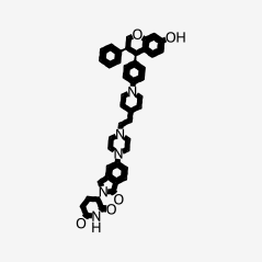 O=C1CC[C@H](N2Cc3cc(N4CCN(CCC5CCN(c6ccc([C@@H]7c8ccc(O)cc8OC[C@@H]7c7ccccc7)cc6)CC5)CC4)ccc3C2=O)C(=O)N1